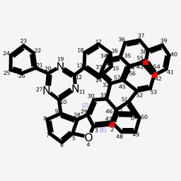 C=C/C=c1/oc2cccc(-c3nc(-c4ccccc4)nc(-c4ccccc4)n3)c2/c1=C/C(c1ccc2ccc3ccccc3c2c1)c1ccccc1-c1ccccc1